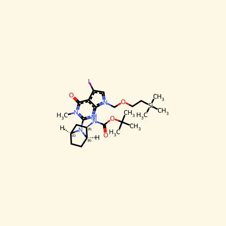 Cn1c(N2[C@H]3CC[C@@H]2[C@H](NC(=O)OC(C)(C)C)C3)nc2c(c(I)cn2COCC[Si](C)(C)C)c1=O